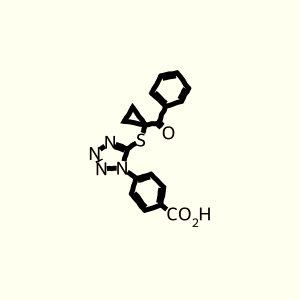 O=C(O)c1ccc(-n2nnnc2SC2(C(=O)c3ccccc3)CC2)cc1